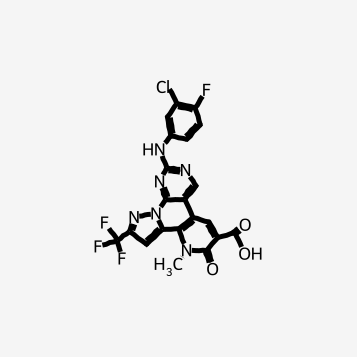 Cn1c(=O)c(C(=O)O)cc2c3cnc(Nc4ccc(F)c(Cl)c4)nc3n3nc(C(F)(F)F)cc3c21